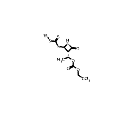 CCSC(=S)SC1NC(=O)[C@@H]1C(C)OC(=O)OCC(Cl)(Cl)Cl